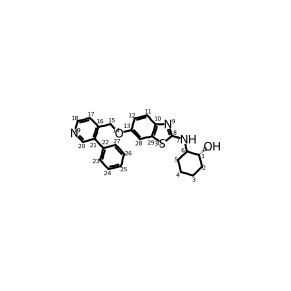 O[C@@H]1CCCCC1Nc1nc2ccc(OCc3ccncc3-c3ccccc3)cc2s1